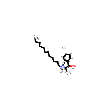 CCCCCCCCCCCC[N+](C)(C)C(C)C(O)c1ccccc1.[Cl-]